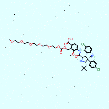 COCCOCCOCCOCCOCCOC(=O)OCc1c(C(=O)O)ccc(NC(=O)[C@@H]2N[C@@H](CC(C)(C)C)[C@](C#N)(c3ccc(Cl)cc3F)[C@H]2c2cccc(Cl)c2F)c1OC